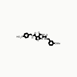 COc1cccc(CNC(=O)c2nc3scc(C(=O)NCc4ccc(C(=O)O)cc4)c3c(=O)[nH]2)c1